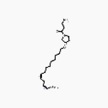 CCCCC/C=C\C/C=C\CCCCCCCCO[C@H]1CCN(C(=O)CCN)C1